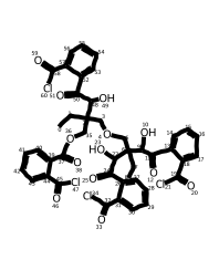 CCC(COCC(CC)(C(O)C(=O)c1ccccc1C(=O)Cl)C(O)C(=O)c1ccccc1C(=O)Cl)(COC(=O)c1ccccc1C(=O)Cl)C(O)C(=O)c1ccccc1C(=O)Cl